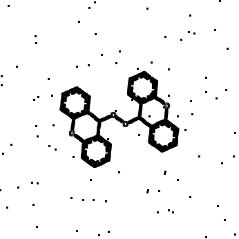 c1ccc2c(c1)Oc1ccccc1C2OOC1c2ccccc2Oc2ccccc21